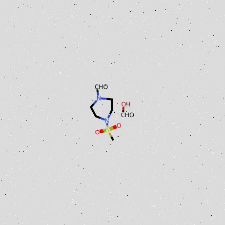 CS(=O)(=O)N1CCN(C=O)CC1.O=CO